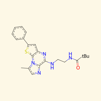 Cc1cnc2c(NCCNC(=O)C(C)(C)C)nc3cc(-c4ccccc4)sc3n12